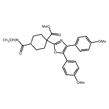 COC(=O)C1(c2nc(-c3ccc(OC)cc3)c(-c3ccc(OC)cc3)o2)CCN(C(=O)N(C)O)CC1